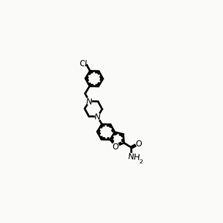 NC(=O)c1cc2cc(N3CCN(Cc4cccc(Cl)c4)CC3)ccc2o1